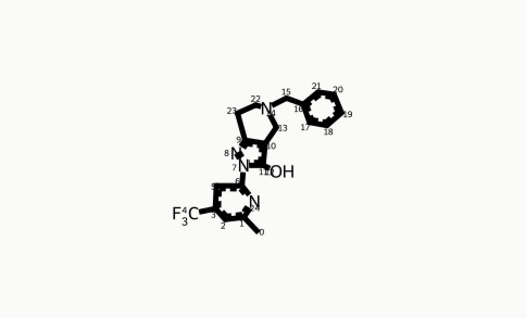 Cc1cc(C(F)(F)F)cc(-n2nc3c(c2O)CN(Cc2ccccc2)CC3)n1